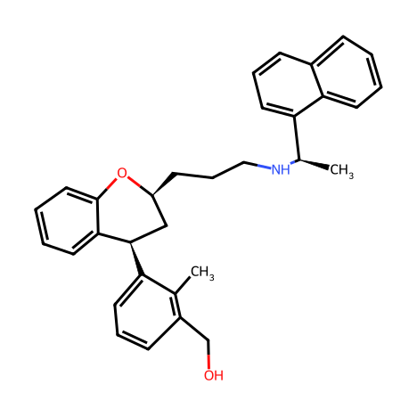 Cc1c(CO)cccc1[C@@H]1C[C@H](CCCN[C@H](C)c2cccc3ccccc23)Oc2ccccc21